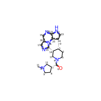 C[C@@H]1CCN(C(=O)[C@@H]2CCN(C)C2)C[C@@H]1c1ncc2cnc3[nH]ccc3n12